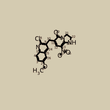 COc1ccc2nc(Cl)c(Cc3cc([N+](=O)[O-])c4n(c3=O)CCN4)cc2c1